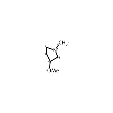 [CH2]N1CCC(OC)C1